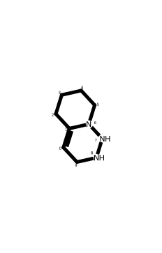 C1=C2CCCCN2NNC1